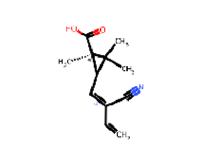 C=C/C(C#N)=C/C1C(C)(C)[C@]1(C)C(=O)O